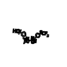 Cc1cc(-c2nc(-c3ccc(SC(F)(F)F)cc3)no2)nn1Cc1cccc(C(C)(C)O)c1